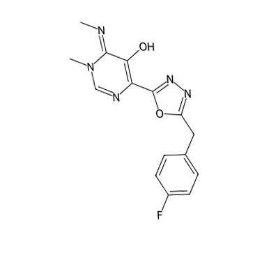 C/N=c1/c(O)c(-c2nnc(Cc3ccc(F)cc3)o2)ncn1C